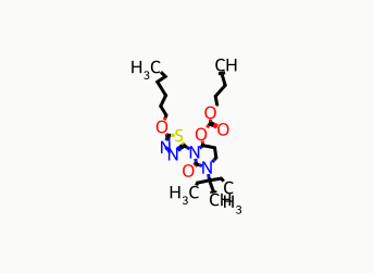 C#CCCCOC(=O)OC1CCN(C(C#C)(CC)CC)C(=O)N1c1nnc(OCCCCCC)s1